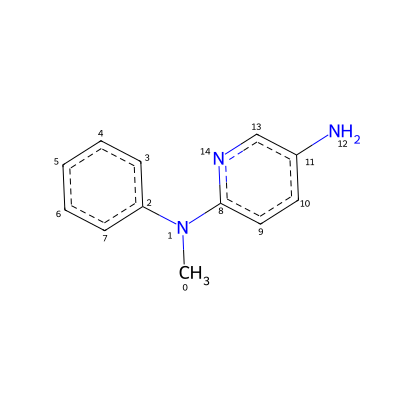 CN(c1ccccc1)c1ccc(N)cn1